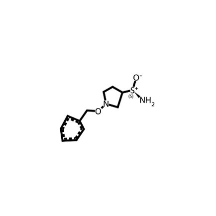 N[S@+]([O-])C1CCN(OCc2ccccc2)C1